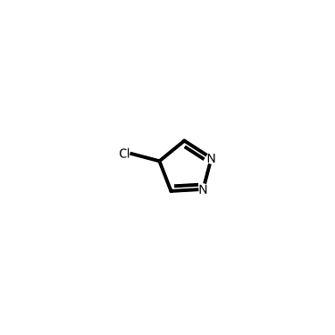 ClC1C=NN=C1